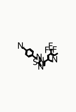 Cc1ncc(-c2cnc3sc(-c4ccc(C#N)cc4)nn23)cc1C(F)(F)F